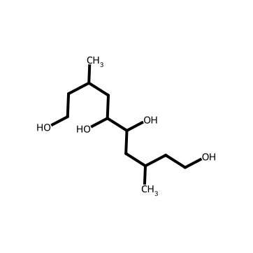 CC(CCO)CC(O)C(O)CC(C)CCO